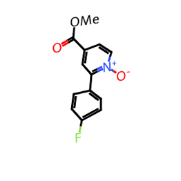 COC(=O)c1cc[n+]([O-])c(-c2ccc(F)cc2)c1